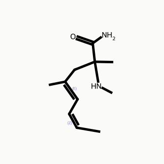 C/C=C\C=C(/C)CC(C)(NC)C(N)=O